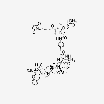 CC[C@H](C)[C@@H](C(CC(=O)N1CCCC1[C@H](OC)[C@@H](C)C(=O)N[C@@H](Cc1ccccc1)C(=O)OC(C)(C)C)OC)N(C)C(=O)[C@@H](NC(=O)C(C)(C)NC(=O)OCc1ccc(NC(=O)[C@H](CCCNC(N)=O)NC(=O)[C@@H](NC(=O)CCCCCN2C(=O)C=CC2=O)C(C)C)cc1)C(C)C